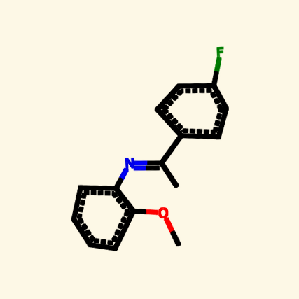 COc1ccccc1N=C(C)c1ccc(F)cc1